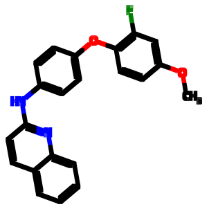 COc1ccc(Oc2ccc(Nc3ccc4ccccc4n3)cc2)c(F)c1